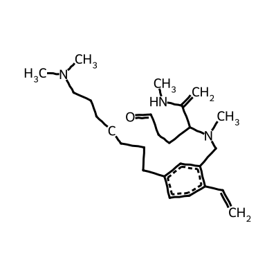 C=Cc1ccc(CCCCCCCN(C)C)cc1CN(C)C(CCC=O)C(=C)NC